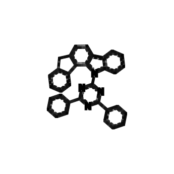 c1ccc(-c2nc(-c3ccccc3)nc(-n3c4ccccc4c4ccc5c(c43)-c3ccccc3C5)n2)cc1